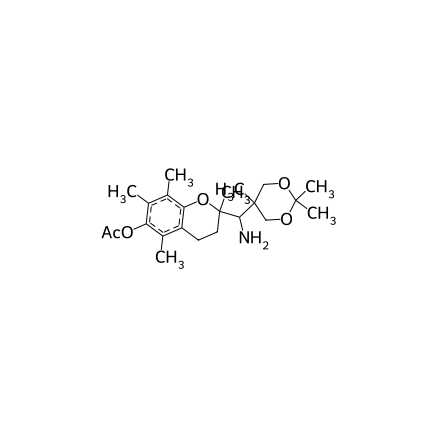 CC(=O)Oc1c(C)c(C)c2c(c1C)CCC(C)(C(N)C1(C)COC(C)(C)OC1)O2